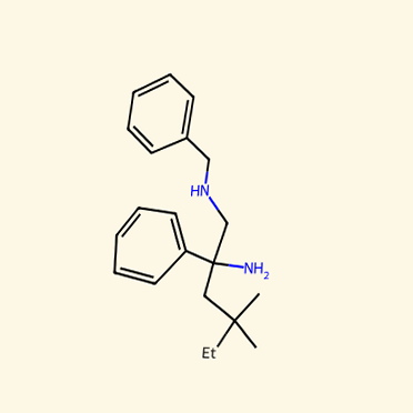 CCC(C)(C)CC(N)(CNCc1ccccc1)c1ccccc1